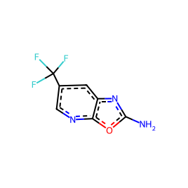 Nc1nc2cc(C(F)(F)F)cnc2o1